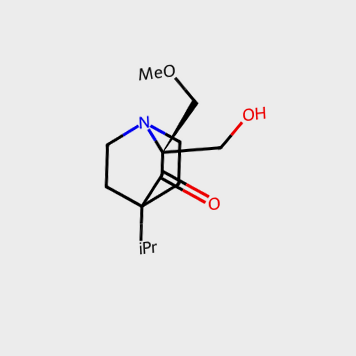 COC[C@@]1(CO)C(=O)C2(C(C)C)CCN1CC2